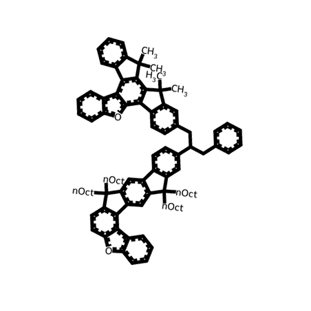 CCCCCCCCC1(CCCCCCCC)c2cc(C(Cc3ccccc3)Cc3ccc4c(c3)C(C)(C)c3c5c(c6c(oc7ccccc76)c3-4)-c3ccccc3C5(C)C)ccc2-c2cc3c(cc21)-c1c(ccc2oc4ccccc4c12)C3(CCCCCCCC)CCCCCCCC